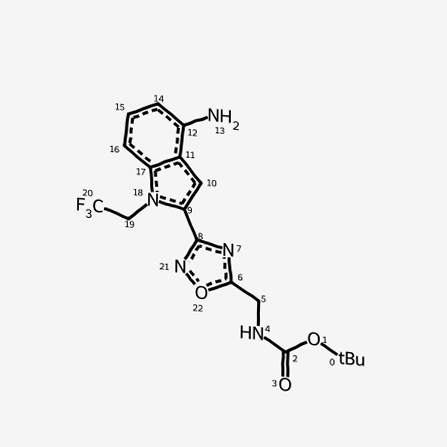 CC(C)(C)OC(=O)NCc1nc(-c2cc3c(N)cccc3n2CC(F)(F)F)no1